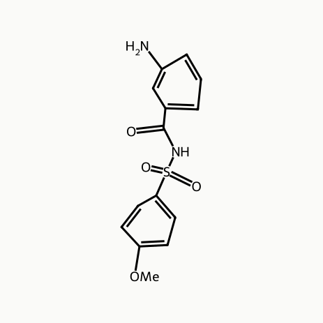 COc1ccc(S(=O)(=O)NC(=O)c2cccc(N)c2)cc1